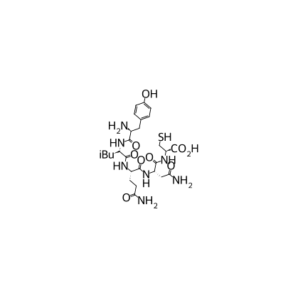 CC[C@H](C)[C@H](NC(=O)[C@@H](N)Cc1ccc(O)cc1)C(=O)N[C@@H](CCC(N)=O)C(=O)N[C@@H](CC(N)=O)C(=O)N[C@@H](CS)C(=O)O